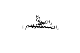 CCCCCCCCCCCCCCCCCCCC.CCCO[SiH](CCC)OCCC